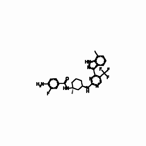 Cc1cccc2c(-c3nc(N[C@@H]4CCC[C@](C)(NC(=O)c5ccc(N)c(F)c5)C4)ncc3C(F)(F)F)n[nH]c12